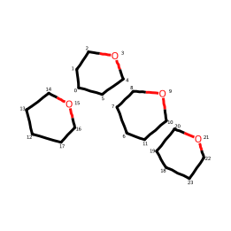 C1CCOCC1.C1CCOCC1.C1CCOCC1.C1CCOCC1